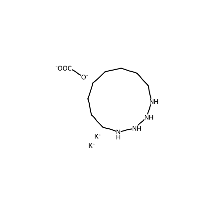 C1CCCCNNNNCCC1.O=C([O-])[O-].[K+].[K+]